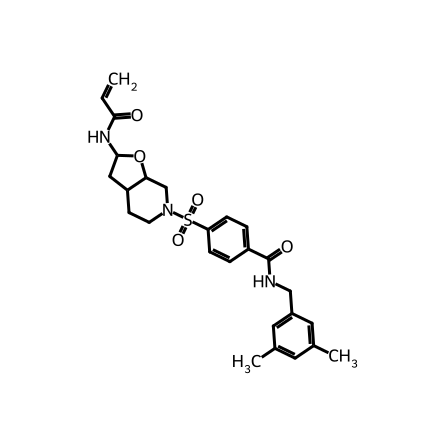 C=CC(=O)NC1CC2CCN(S(=O)(=O)c3ccc(C(=O)NCc4cc(C)cc(C)c4)cc3)CC2O1